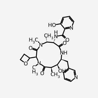 C[C@@H]1[C@H](NC(=O)c2ncccc2O)C(=O)N[C@@H](Cc2cccnc2)[C@@H](O)[C@@H](C)C(=O)N(C)C(C2CCO2)C(=O)N1C